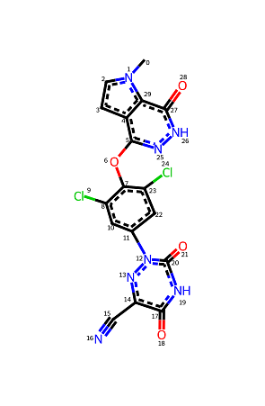 Cn1ccc2c(Oc3c(Cl)cc(-n4nc(C#N)c(=O)[nH]c4=O)cc3Cl)n[nH]c(=O)c21